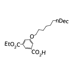 CCCCCCCCCCCCCCCCOc1cc(C(=O)O)cc(C(=O)OCC)c1